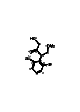 COCN(C(=O)CO)c1c(C(C)C)cccc1C(C)(C)C